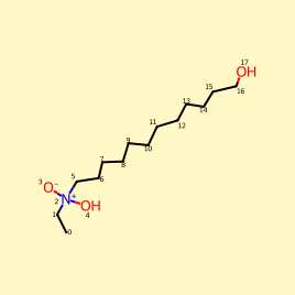 CC[N+]([O-])(O)CCCCCCCCCCCCO